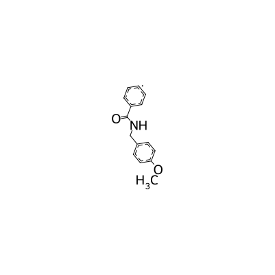 COc1ccc(CNC(=O)c2cc[c]cc2)cc1